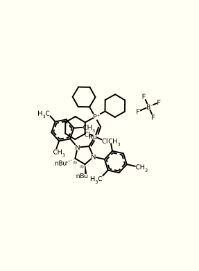 CCCC[C@H]1[C@H](CCCC)N(c2c(C)cc(C)cc2C)[C](=[Ru]([Cl])([Cl])=[CH][P+](C2CCCCC2)(C2CCCCC2)C2CCCCC2)N1c1c(C)cc(C)cc1C.F[B-](F)(F)F